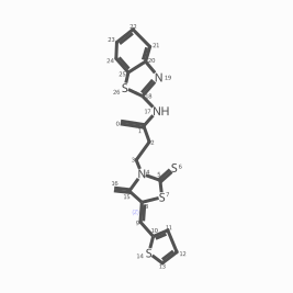 C=C(CCn1c(=S)s/c(=C\c2cccs2)c1=C)Nc1nc2ccccc2s1